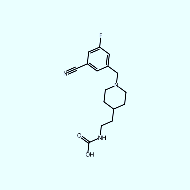 N#Cc1cc(F)cc(CN2CCC(CCNC(=O)O)CC2)c1